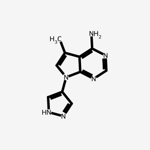 Cc1cn(-c2cn[nH]c2)c2ncnc(N)c12